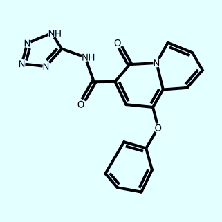 O=C(Nc1nnn[nH]1)c1cc(Oc2ccccc2)c2ccccn2c1=O